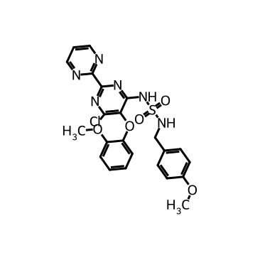 COc1ccc(CNS(=O)(=O)Nc2nc(-c3ncccn3)nc(Cl)c2Oc2ccccc2OC)cc1